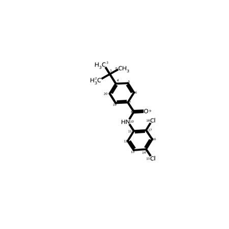 CC(C)(C)c1ccc(C(=O)Nc2ccc(Cl)cc2Cl)cc1